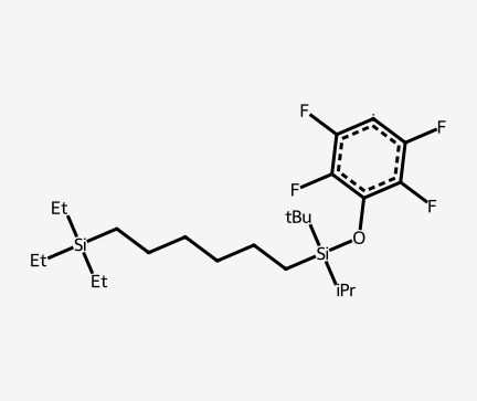 CC[Si](CC)(CC)CCCCCC[Si](Oc1c(F)c(F)[c]c(F)c1F)(C(C)C)C(C)(C)C